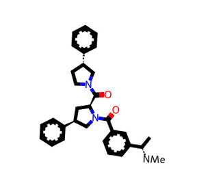 CN[C@@H](C)c1cccc(C(=O)N2C[C@@H](c3ccccc3)C[C@H]2C(=O)N2CC[C@H](c3ccccc3)C2)c1